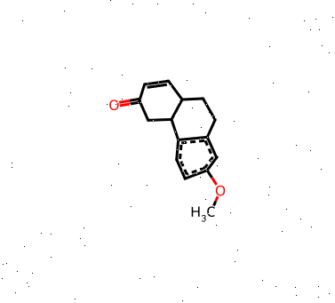 COc1ccc2c(c1)CCC1C=CC(=O)CC21